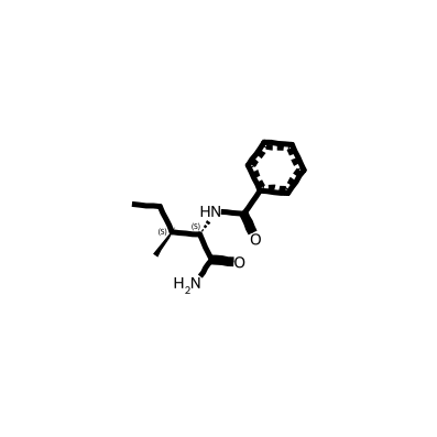 CC[C@H](C)[C@H](NC(=O)c1ccccc1)C(N)=O